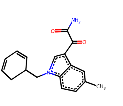 Cc1ccc2c(c1)c(C(=O)C(N)=O)cn2CC1C=CC=CC1